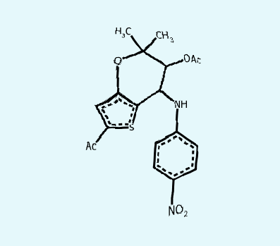 CC(=O)OC1C(Nc2ccc([N+](=O)[O-])cc2)c2sc(C(C)=O)cc2OC1(C)C